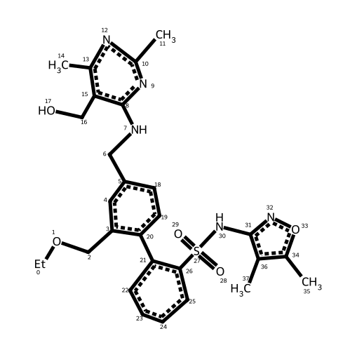 CCOCc1cc(CNc2nc(C)nc(C)c2CO)ccc1-c1ccccc1S(=O)(=O)Nc1noc(C)c1C